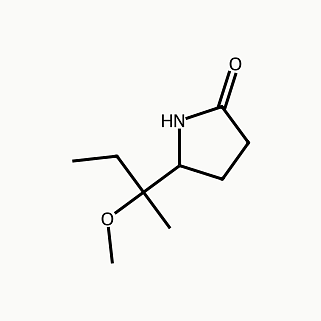 CCC(C)(OC)C1CCC(=O)N1